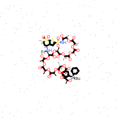 CCN[C@H]1C[C@H](C)S(=O)(=O)c2sc(S(=O)(=O)NC(=O)[C@H](C)OC(=O)[C@H](C)OC(=O)[C@H](C)OC(=O)[C@H](C)OC(=O)[C@H](C)OC(=O)[C@H](C)OC(=O)[C@H](C)OC(=O)[C@H](C)OC(=O)[C@H](C)OC(=O)[C@H](C)OC(=O)[C@H](C)OC(=O)[C@H](C)O[Si](c3ccccc3)(c3ccccc3)C(C)(C)C)cc21